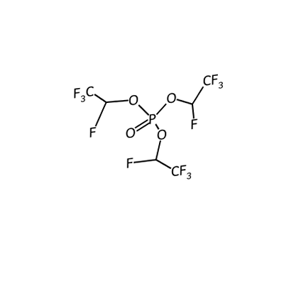 O=P(OC(F)C(F)(F)F)(OC(F)C(F)(F)F)OC(F)C(F)(F)F